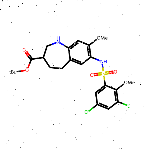 COc1cc2c(cc1NS(=O)(=O)c1cc(Cl)cc(Cl)c1OC)CCC(C(=O)OC(C)(C)C)CN2